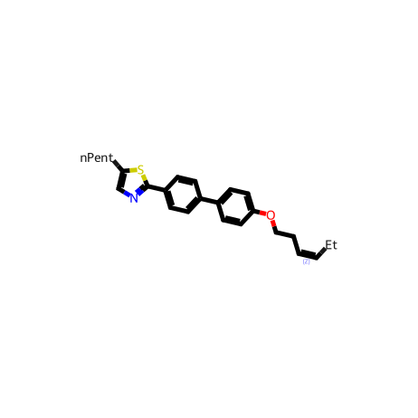 CC/C=C\CCOc1ccc(-c2ccc(-c3ncc(CCCCC)s3)cc2)cc1